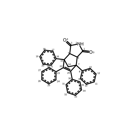 O=C1NC(=O)C2C1C1(c3ccccc3)CC2(c2ccccc2)C(c2ccccc2)=C1c1ccccc1